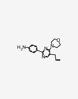 C=CCc1cnc(-c2ccc(N)cc2)nc1N1CCOCC1